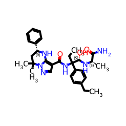 CCc1ccc(C(CC)(NC(=O)c2cnn3c2N[C@@H](c2ccccc2)CC3(C)C)[C@H](O)N[C@@H](C)C(N)=O)cc1